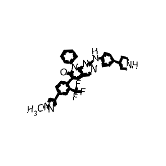 Cn1cc(-c2ccc(-c3cc4cnc(Nc5ccc(C6=CCNCC6)cc5)nc4n(-c4ccccc4)c3=O)c(C(F)(F)F)c2)cn1